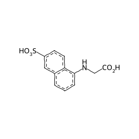 O=C(O)CNc1cccc2cc(S(=O)(=O)O)ccc12